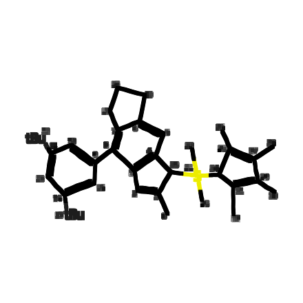 CC1=Cc2c(cc3c(c2-c2cc(C(C)(C)C)cc(C(C)(C)C)c2)CCC3)C1S(C)(C)C1C(C)=C(C)C(C)=C1C